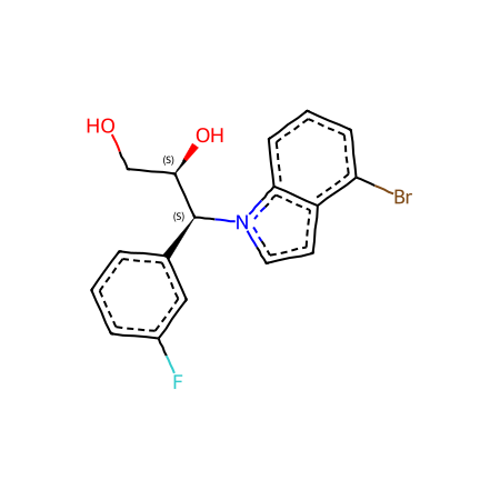 OC[C@@H](O)[C@H](c1cccc(F)c1)n1ccc2c(Br)cccc21